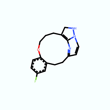 Fc1ccc2c(c1)CCC1=NC3=C(CCCO2)CNN3C=C1